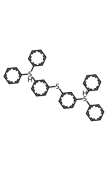 c1ccc([SH](c2ccccc2)c2cccc(Sc3cccc([SH](c4ccccc4)c4ccccc4)c3)c2)cc1